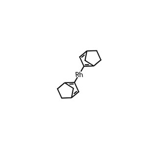 C1=C2CCC(=[C]1[Rh][C]1=C3CCC(=C1)C3)C2